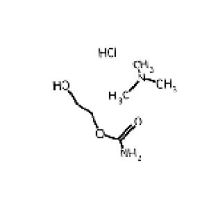 CN(C)C.Cl.NC(=O)OCCO